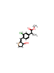 COC(=O)C(C)c1ccc(C=C2SCCC2O)c(Cl)c1